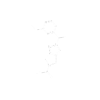 COc1cccc(C(C)n2cc3c(n2)CN(C(=O)O)C3)c1